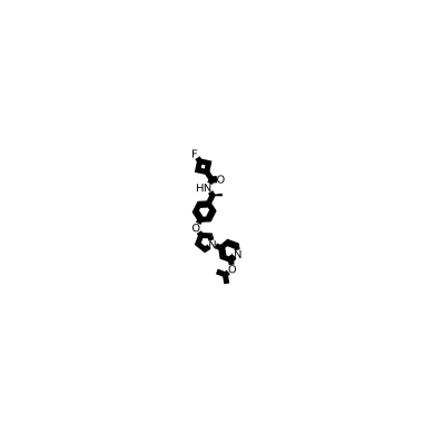 CC(C)Oc1cc(N2CCC(Oc3ccc([C@H](C)NC(=O)C4CC(F)C4)cc3)C2)ccn1